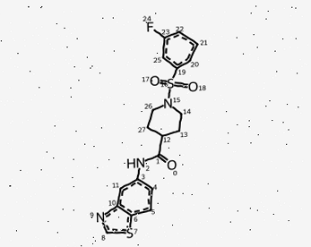 O=C(Nc1ccc2scnc2c1)C1CCN(S(=O)(=O)c2cccc(F)c2)CC1